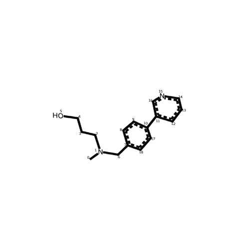 CN(CCCO)Cc1ccc(-c2c[c]cnc2)cc1